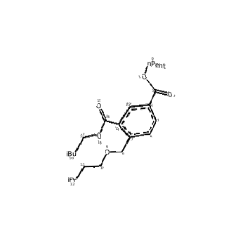 CCCCCOC(=O)c1ccc(COCCC(C)C)c(C(=O)OCC(C)CC)c1